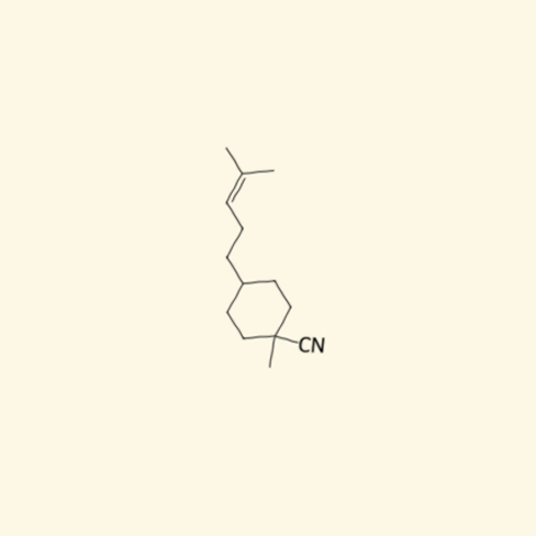 CC(C)=CCCC1CCC(C)(C#N)CC1